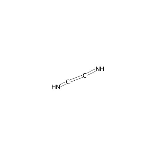 N=C=C=N